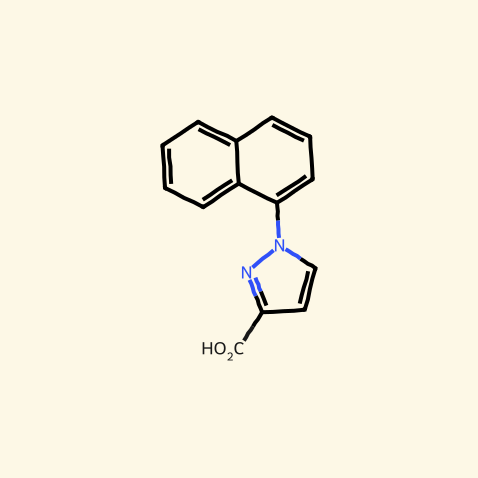 O=C(O)c1ccn(-c2cccc3ccccc23)n1